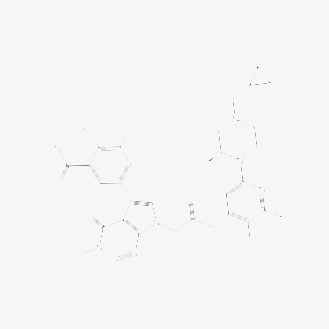 C[C@H]1CN(CC2CC2)CCN1c1cc(NC(=O)Cn2cc(-c3cc(Cl)c(O)c(C(N)=O)c3)c3c(=O)n(C)cnc32)c(Cl)c(F)n1